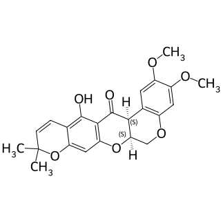 COc1cc2c(cc1OC)[C@@H]1C(=O)c3c(cc4c(c3O)C=CC(C)(C)O4)O[C@@H]1CO2